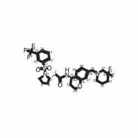 O=C(C[C@@H]1CCCN1S(=O)(=O)c1cccc(C(F)(F)F)c1)N[C@@H]1CCOc2cc(CN3CCCC(F)(F)C3)ccc21